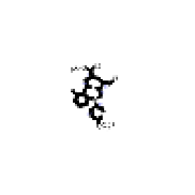 C=C(/C=C\C(=C/C)N1/C=C(C)/C(=C/CC)CC(=C(\CC)OC)/C=C(\C)c2c(C)cccc21)C(=O)O